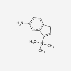 C[N+](C)(C)C1=CCc2ccc(N)cc21